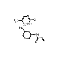 C=CC(=O)Nc1cccc(N[C@H]2NC(Cl)=NC=C2C(F)(F)F)c1